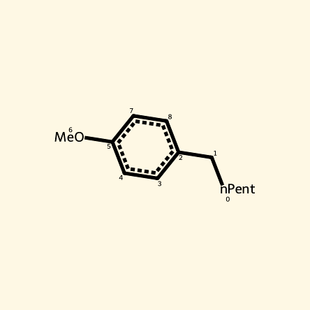 CCCCCCc1ccc(OC)cc1